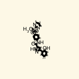 CN(c1ncccn1)S(=O)(=O)c1ccc(NC(=O)c2cc(-c3ccccc3O)n[nH]2)cc1